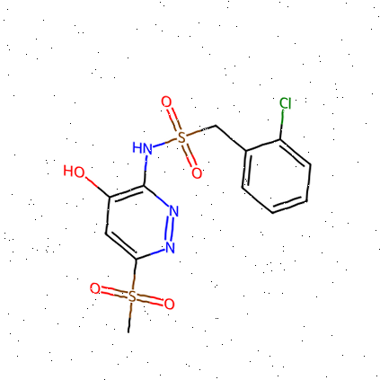 CS(=O)(=O)c1cc(O)c(NS(=O)(=O)Cc2ccccc2Cl)nn1